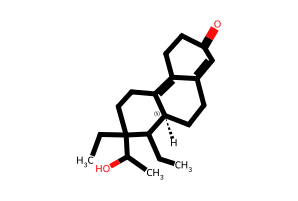 CCC1[C@@H]2CCC3=CC(=O)CCC3=C2CCC1(CC)C(C)O